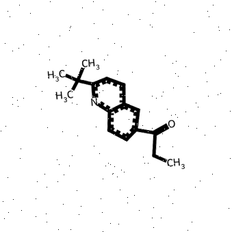 CCC(=O)c1ccc2nc(C(C)(C)C)ccc2c1